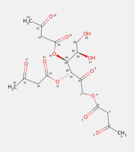 CC(=O)CC(=O)OCC(=O)[C@H](OC(=O)CC(C)=O)[C@@H](OC(=O)CC(C)=O)[C@H](O)CO